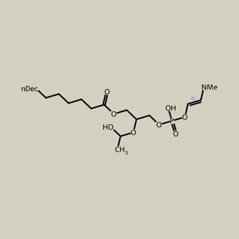 CCCCCCCCCCCCCCCC(=O)OCC(COP(=O)(O)O/C=C/NC)OC(C)O